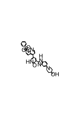 O=c1[nH]cc(-c2ccnc3c2ccn3S(=O)(=O)c2ccccc2)cc1-c1nc2cc(N3CCC(O)CC3)ccc2[nH]1